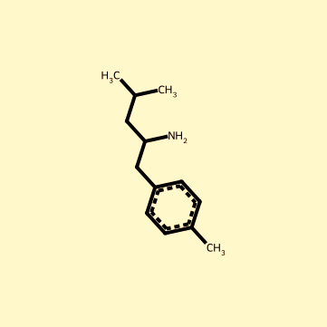 Cc1ccc(CC(N)CC(C)C)cc1